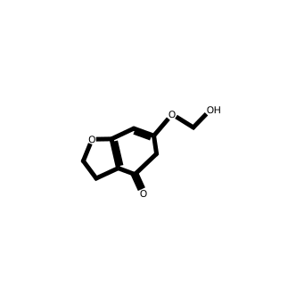 O=C1CC(OCO)=CC2=C1CCO2